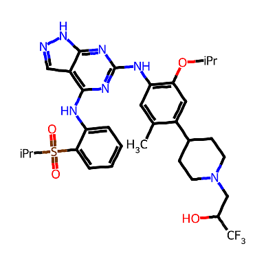 Cc1cc(Nc2nc(Nc3ccccc3S(=O)(=O)C(C)C)c3cn[nH]c3n2)c(OC(C)C)cc1C1CCN(CC(O)C(F)(F)F)CC1